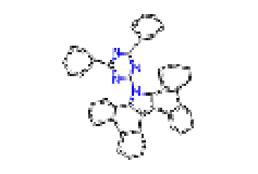 c1ccc(-c2nc(-c3ccccc3)nc(-n3c4c5ccccc5c5ccccc5c4c4c5ccccc5c5ccccc5c43)n2)cc1